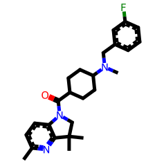 Cc1ccc2c(n1)C(C)(C)CN2C(=O)C1CCC(N(C)Cc2cccc(F)c2)CC1